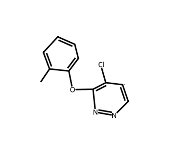 Cc1ccccc1Oc1nnc[c]c1Cl